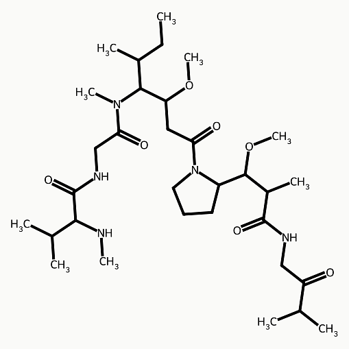 CCC(C)C(C(CC(=O)N1CCCC1C(OC)C(C)C(=O)NCC(=O)C(C)C)OC)N(C)C(=O)CNC(=O)C(NC)C(C)C